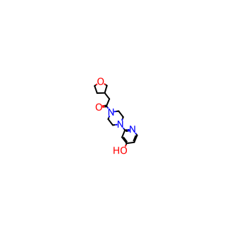 O=C(CC1CCOC1)N1CCN(c2cc(O)ccn2)CC1